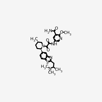 COc1ncc(NC(=O)C(=O)N2C[C@@H](C)CC[C@@H]2c2ccc3sc(CC(C)N(C)C)nc3c2)cc1C(N)=O